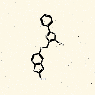 Cc1oc(-c2ccccc2)nc1COc1ccc2oc(C=O)cc2c1